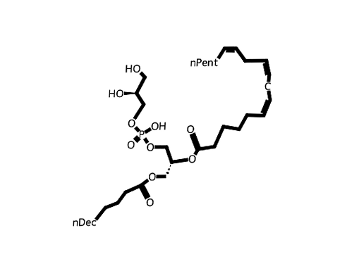 CCCCC/C=C\C/C=C\C/C=C\CCCCC(=O)O[C@H](COC(=O)CCCCCCCCCCCCC)COP(=O)(O)OC[C@@H](O)CO